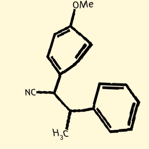 COc1ccc(C(C#N)C(C)c2ccccc2)cc1